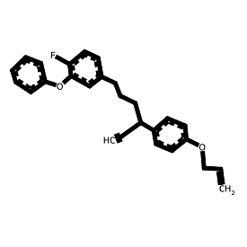 C#CC(CCCc1ccc(F)c(Oc2ccccc2)c1)c1ccc(OCC=C)cc1